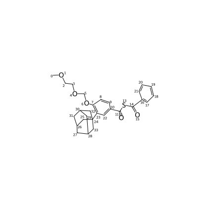 COCCOCOc1ccc(C(=O)SC(=O)c2ccccc2)cc1C12CC3CC(CC(C3)C1)C2